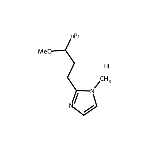 CCCC(CCc1nccn1C)OC.I